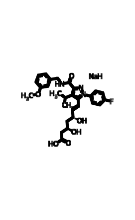 COc1cccc(CNC(=O)c2nn(-c3ccc(F)cc3)c(/C=C/[C@H](O)C[C@@H](O)CC(=O)O)c2C(C)C)c1.[NaH]